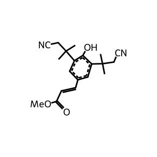 COC(=O)/C=C/c1cc(C(C)(C)CC#N)c(O)c(C(C)(C)CC#N)c1